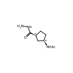 CC(=O)N[C@@H]1CC[C@H](C(=O)NN)C1